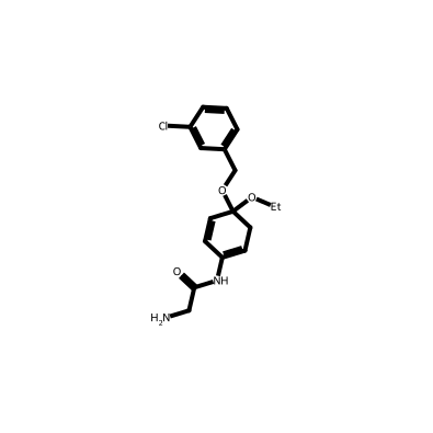 CCOC1(OCc2cccc(Cl)c2)C=CC(NC(=O)CN)=CC1